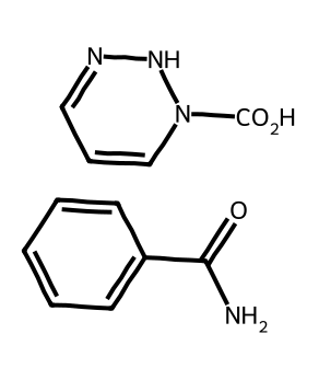 NC(=O)c1ccccc1.O=C(O)N1C=CC=NN1